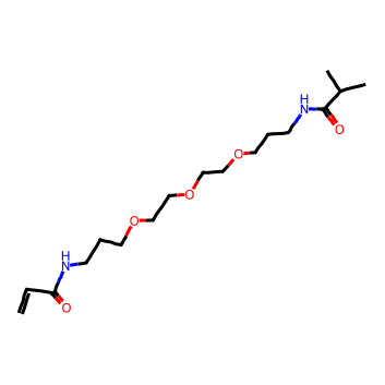 C=CC(=O)NCCCOCCOCCOCCCNC(=O)C(C)C